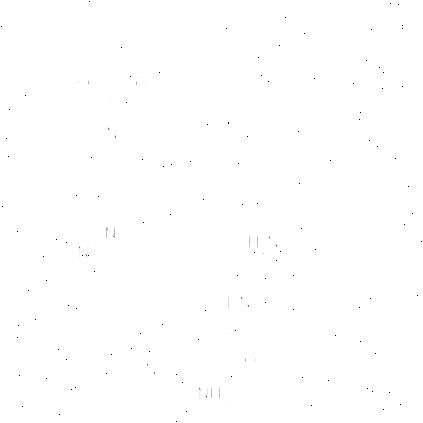 CC(C)(C)OC(=O)N1CCC(n2cc(-c3cnc(N)c(C(=O)Nc4ccccc4N)c3)cn2)CC1